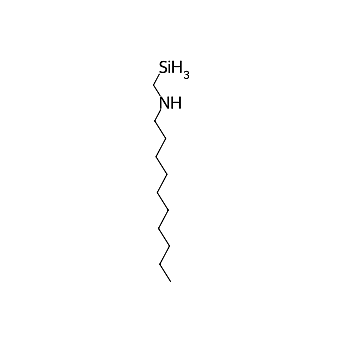 CCCCCCCCCCNC[SiH3]